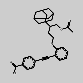 CC(=O)OCC(CCOc1ccccc1C#Cc1ccc(C(=O)O)cc1)C12CC3CC(CC(C3)C1)C2